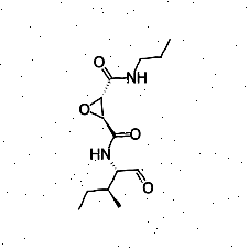 CCCNC(=O)[C@H]1O[C@@H]1C(=O)N[C@H]([C]=O)[C@@H](C)CC